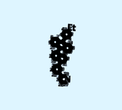 CCc1ccc(-c2c3ccccc3c(-c3cccc4c(-c5cccc(-c6cccnc6)c5)cccc34)c3ccccc23)cc1